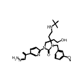 C=C(/C=N\N)c1ccc(N2CC(CCO)(CCNC(C)(C)C)N(Cc3cccc(OC)c3)C2=O)nc1